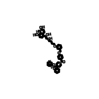 O=C(c1ccc(OCc2cccc(OCCCCNC[C@H](O)c3ccc(O)c4c3C=CC(O)N4)c2)cc1)N1CCC(C(=O)O[C@H]2CN3CCC2CC3)(c2ccccc2)CC1